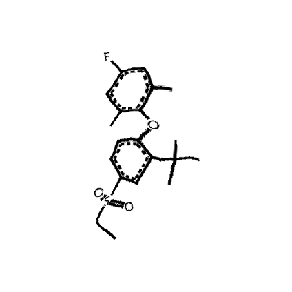 CCS(=O)(=O)c1ccc(Oc2c(C)cc(F)cc2C)c(C(C)(C)C)c1